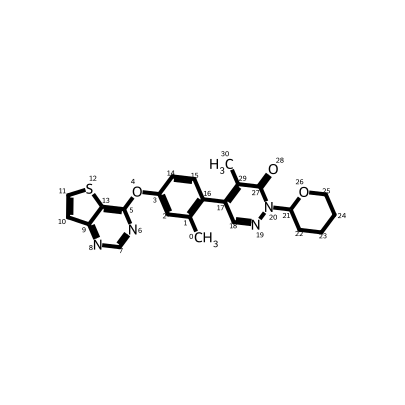 Cc1cc(Oc2ncnc3ccsc23)ccc1-c1cnn(C2CCCCO2)c(=O)c1C